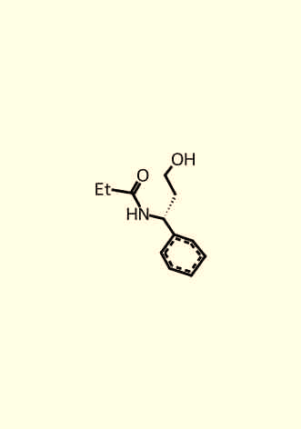 CCC(=O)N[C@H](CCO)c1ccccc1